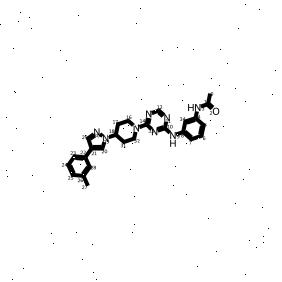 CC(=O)Nc1cccc(Nc2ncnc(N3CCC(n4cc(-c5cccc(C)c5)cn4)CC3)n2)c1